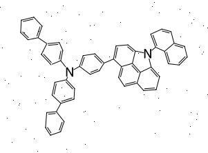 c1ccc(-c2ccc(N(c3ccc(-c4ccccc4)cc3)c3ccc(-c4ccc5c6c4ccc4cccc(c46)n5-c4cccc5ccccc45)cc3)cc2)cc1